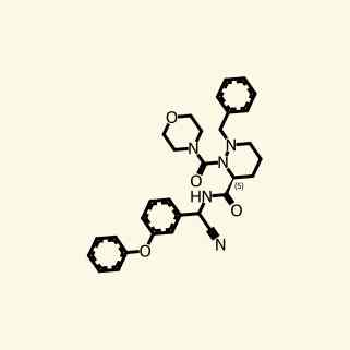 N#CC(NC(=O)[C@@H]1CCCN(Cc2ccccc2)N1C(=O)N1CCOCC1)c1cccc(Oc2ccccc2)c1